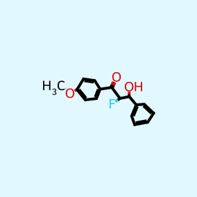 COc1ccc(C(=O)C(F)C(O)c2ccccc2)cc1